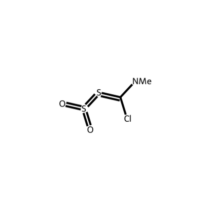 CNC(Cl)=S=S(=O)=O